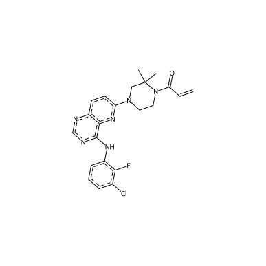 C=CC(=O)N1CCN(c2ccc3ncnc(Nc4cccc(Cl)c4F)c3n2)CC1(C)C